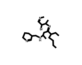 CCCCC(CC)/C(CC(C)NCC1C=NCCC1)=N/C(C)C(Br)/C=N\C